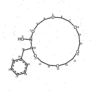 ON1OCCOCCOCCOCCOCCON1Cc1ccccc1